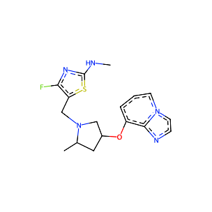 CNc1nc(F)c(CN2CC(Oc3cccn4ccnc34)CC2C)s1